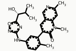 Cc1cc2c(cn1)cc(-c1cc(Nc3noc([C@H](O)C(C)C)n3)ccc1C)c(=O)n2C